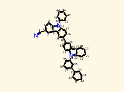 N#Cc1ccc2c(c1)c1cc(-c3ccc4c(c3)c3ccccc3n4-c3cccc(-c4ccccc4)c3)ccc1n2-c1ccccc1